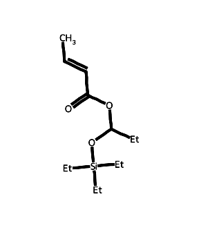 CC=CC(=O)OC(CC)O[Si](CC)(CC)CC